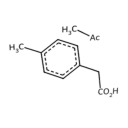 CC(C)=O.Cc1ccc(CC(=O)O)cc1